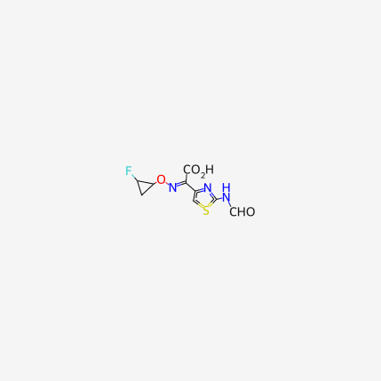 O=CNc1nc(/C(=N/OC2CC2F)C(=O)O)cs1